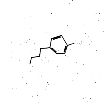 CO[C@H](c1ccc(NC(C)=O)cc1)[C@H](N)CF